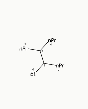 [CH2]CC(CCC)C(CCC)CCC